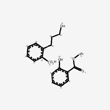 CCCOC(=O)c1ccccc1O.O=C(O)c1ccccc1CCCO